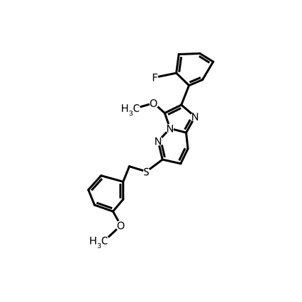 COc1cccc(CSc2ccc3nc(-c4ccccc4F)c(OC)n3n2)c1